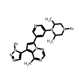 CC(=O)N1CC(C)N(c2cncc(-c3cc(-c4cnnn4C(C)C)c4c(N)ncnn34)c2)C(C)C1